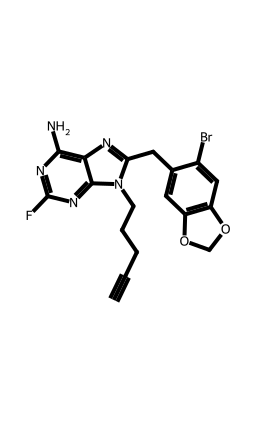 C#CCCCn1c(Cc2cc3c(cc2Br)OCO3)nc2c(N)nc(F)nc21